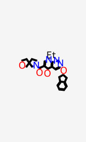 CCn1cc(C(=O)N2CCC3(CCOC3)C2)c(=O)c2cc(OC3Cc4ccccc4C3)nnc21